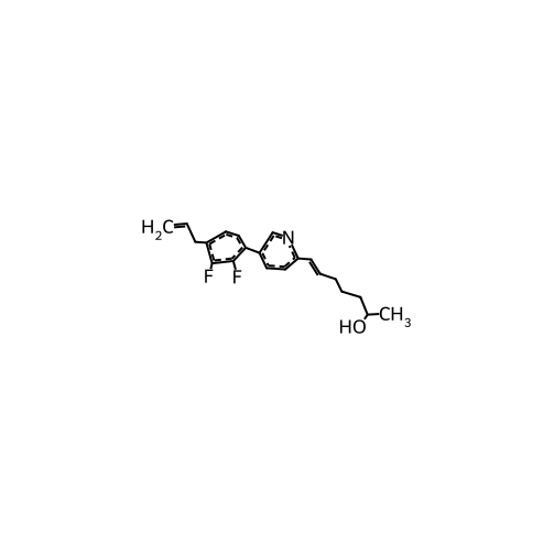 C=CCc1ccc(-c2ccc(C=CCCCC(C)O)nc2)c(F)c1F